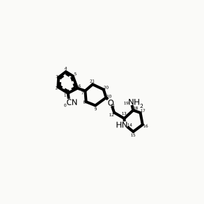 N#Cc1ccccc1C1CCC(OCC2NCCCC2N)CC1